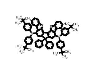 CC(C)(C)c1ccc(N(c2ccc(C(C)(C)C)cc2)c2cc3c(c4sc5ccccc5c24)-c2c(cc(N(c4ccc(C(C)(C)C)cc4)c4ccc(C(C)(C)C)cc4)c4c2sc2ccccc24)C3(c2ccccc2)c2ccccc2)cc1